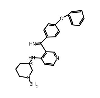 BN1CCC[C@@H](Nc2ccncc2C(=N)c2ccc(Oc3ccccc3)cc2)C1